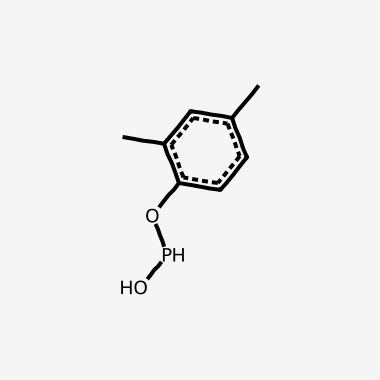 Cc1ccc(OPO)c(C)c1